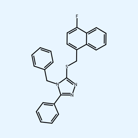 Fc1ccc(CSc2nnc(-c3ccccc3)n2Cc2ccccc2)c2ccccc12